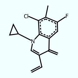 C=CC1=CN(C2CC2)c2c(cc(F)c(C)c2Cl)C1=C